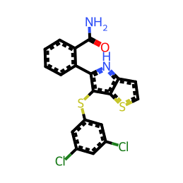 NC(=O)c1ccccc1-c1[nH]c2ccsc2c1Sc1cc(Cl)cc(Cl)c1